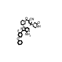 CC(C)(C=C(C#N)C(=O)N1CCC[C@@H](n2nc(-c3ccc(Oc4ccccc4)cc3F)c3c(N)nccc32)C1)N1CCNC(=O)C1